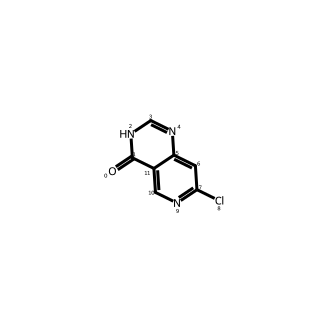 O=c1[nH]cnc2cc(Cl)ncc12